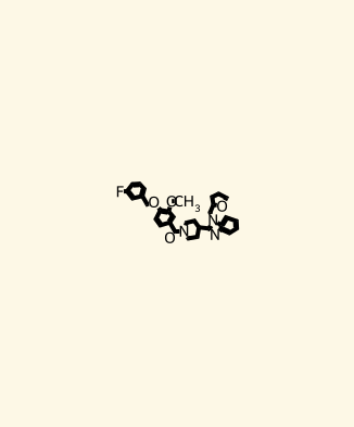 COc1cc(C(=O)N2CCC(c3nc4ccccc4n3CC3CCCO3)CC2)ccc1OCc1cccc(F)c1